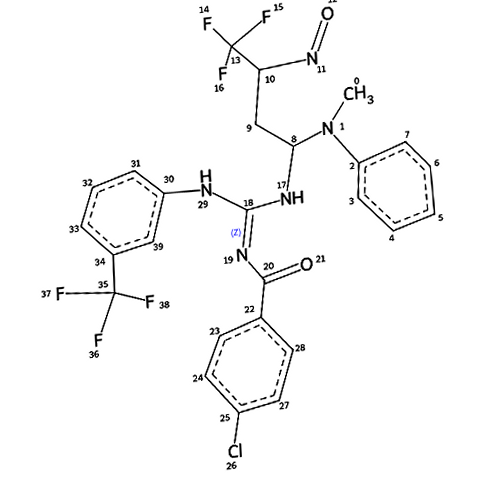 CN(c1ccccc1)C(CC(N=O)C(F)(F)F)N/C(=N\C(=O)c1ccc(Cl)cc1)Nc1cccc(C(F)(F)F)c1